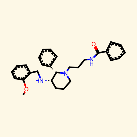 COc1ccccc1CN[C@H]1CCCN(CCCNC(=O)c2ccccc2)[C@H]1c1ccccc1